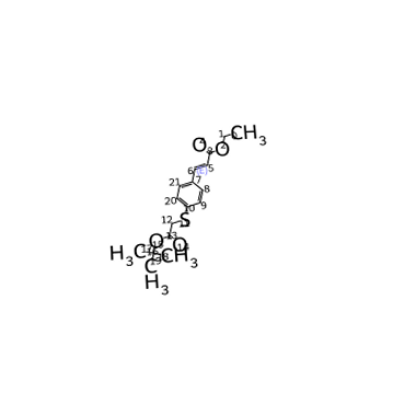 CCOC(=O)/C=C/c1ccc(SCC(=O)OC(C)(C)C)cc1